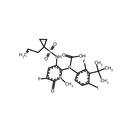 C=CCC1(S(=O)(=O)Nc2cc(F)c(=O)n(C)c2N(C(=O)O)c2ccc(I)c(C(C)(C)C)c2F)CC1